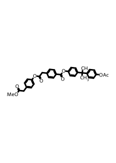 COC(=O)Cc1ccc(OC(=O)Cc2ccc(C(=O)Oc3ccc(C(C)(C)c4ccc(OC(C)=O)cc4)cc3)cc2)cc1